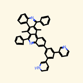 Cc1c2c(-c3ccccc3)nc3cc(-c4cc(C5=CNCC=C5)cc(-c5cccnc5)c4)ccc3c2c(C)c2c(-c3ccccc3)nc3ccccc3c12